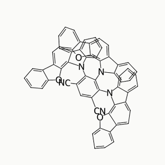 N#Cc1cc(C#N)c(-n2c3ccccc3c3ccc4c5ccccc5oc4c32)c(-n2c3ccccc3c3ccc4c5ccccc5oc4c32)c1-n1c2ccccc2c2ccc3c4ccccc4oc3c21